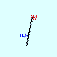 CCCCCCC(N)C/C=C/CCCCCCCC(=O)O